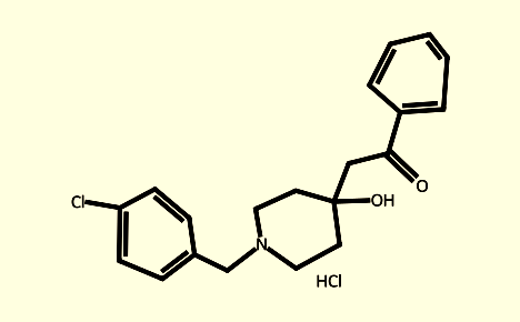 Cl.O=C(CC1(O)CCN(Cc2ccc(Cl)cc2)CC1)c1ccccc1